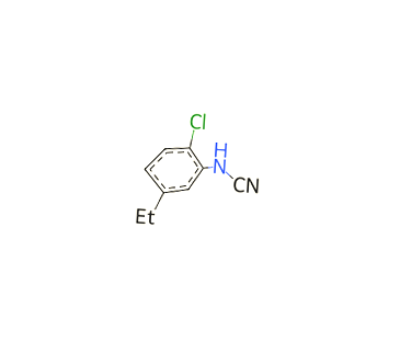 CCc1ccc(Cl)c(NC#N)c1